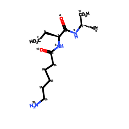 CC(C)[C@H](NC(=O)[C@H](CC(=O)O)NC(=O)CCCCCN)C(=O)O